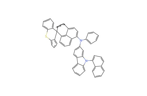 c1ccc(N(c2ccc3c4ccccc4n(-c4cccc5ccccc45)c3c2)c2ccc3c4c(cccc24)C2(c4ccccc4Sc4ccccc42)c2ccccc2-3)cc1